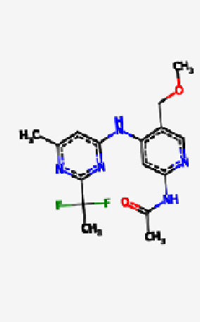 COCc1cnc(NC(C)=O)cc1Nc1cc(C)nc(C(C)(F)F)n1